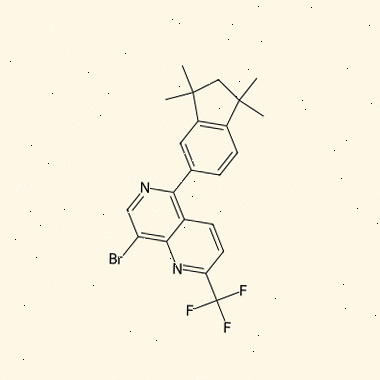 CC1(C)CC(C)(C)c2cc(-c3ncc(Br)c4nc(C(F)(F)F)ccc34)ccc21